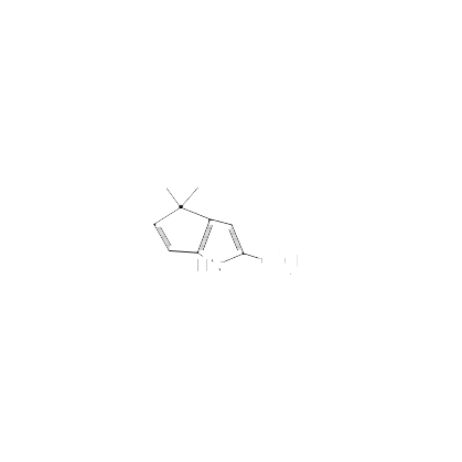 CC1(C)C=Cc2[nH]c(C(=O)O)cc21